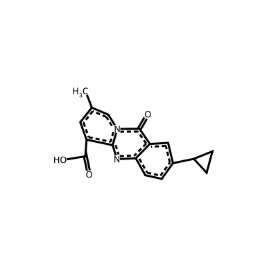 Cc1cc(C(=O)O)c2nc3ccc(C4CC4)cc3c(=O)n2c1